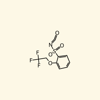 O=C=NS(=O)(=O)c1ccccc1OCC(F)(F)F